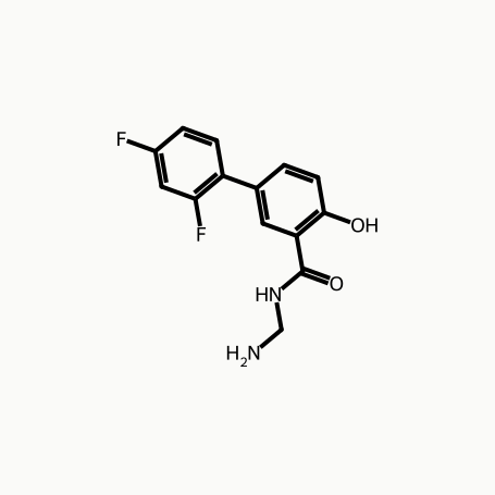 NCNC(=O)c1cc(-c2ccc(F)cc2F)ccc1O